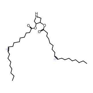 CCCCCCCC/C=C\CCCCCCCC(=O)OC1CNCC1OC(=O)CCCCCCC/C=C\CCCCCCCC